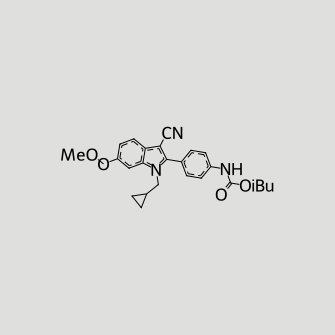 COOc1ccc2c(C#N)c(-c3ccc(NC(=O)OCC(C)C)cc3)n(CC3CC3)c2c1